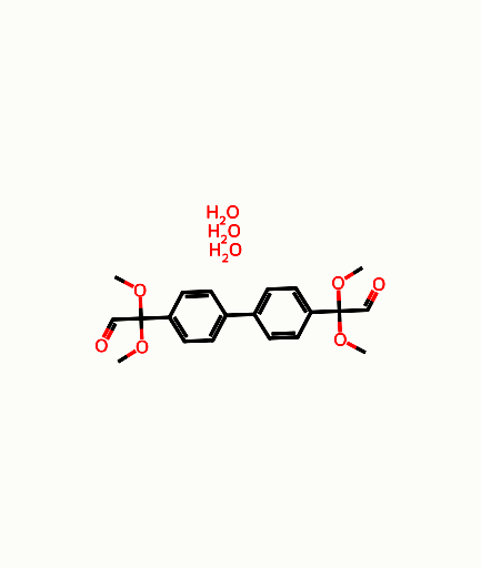 COC(C=O)(OC)c1ccc(-c2ccc(C(C=O)(OC)OC)cc2)cc1.O.O.O